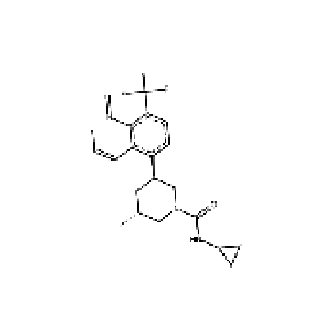 C=Nc1c(C(F)(F)F)ccc([C@@H]2C[C@@H](C)CN(C(=O)NC3CC3)C2)c1/C=C\C